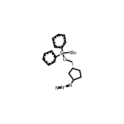 CC(C)(C)[Si](OC[C@@H]1CCC(N=[N+]=[N-])C1)(c1ccccc1)c1ccccc1